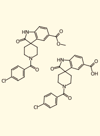 COC(=O)c1ccc2c(c1)C1(CCN(C(=O)c3ccc(Cl)cc3)CC1)C(=O)N2.O=C(O)c1ccc2c(c1)C1(CCN(C(=O)c3ccc(Cl)cc3)CC1)C(=O)N2